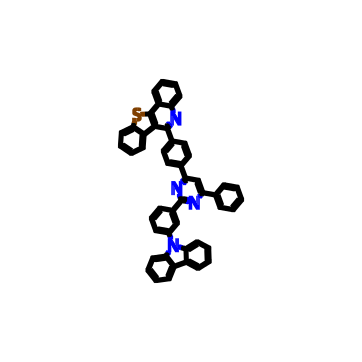 c1ccc(-c2cc(-c3ccc(-c4nc5ccccc5c5sc6ccccc6c45)cc3)nc(-c3cccc(-n4c5ccccc5c5ccccc54)c3)n2)cc1